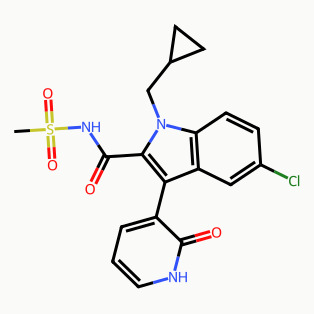 CS(=O)(=O)NC(=O)c1c(-c2ccc[nH]c2=O)c2cc(Cl)ccc2n1CC1CC1